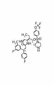 CC/C(CC[C@H]1CNCCN1S(=O)(=O)c1ccc(OC(F)(F)F)cc1)=C(\C=N)NC(=O)C[C@@H](c1ccc(F)cc1)c1cc(C)cc(F)c1